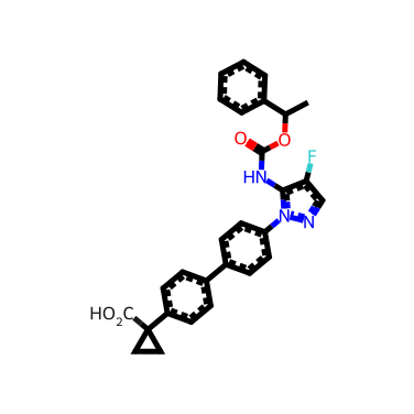 CC(OC(=O)Nc1c(F)cnn1-c1ccc(-c2ccc(C3(C(=O)O)CC3)cc2)cc1)c1ccccc1